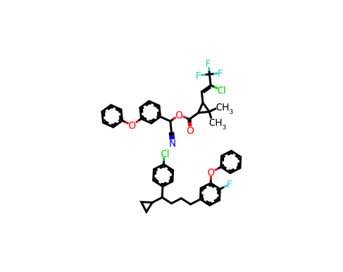 CC1(C)C(/C=C(\Cl)C(F)(F)F)C1C(=O)OC(C#N)c1cccc(Oc2ccccc2)c1.Fc1ccc(CCCC(c2ccc(Cl)cc2)C2CC2)cc1Oc1ccccc1